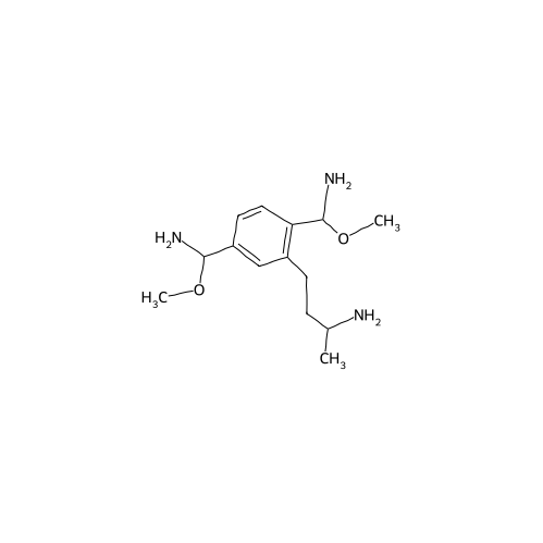 COC(N)c1ccc(C(N)OC)c(CCC(C)N)c1